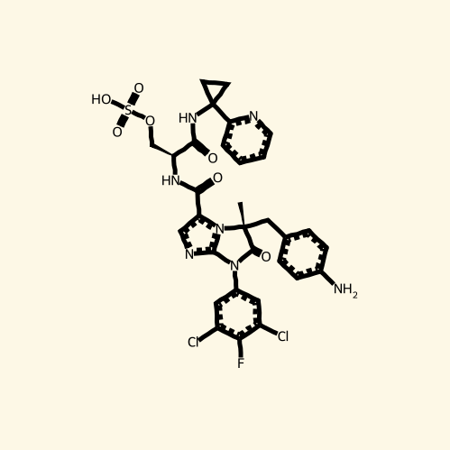 C[C@@]1(Cc2ccc(N)cc2)C(=O)N(c2cc(Cl)c(F)c(Cl)c2)c2ncc(C(=O)N[C@@H](COS(=O)(=O)O)C(=O)NC3(c4ccccn4)CC3)n21